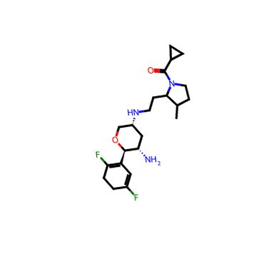 CC1CCN(C(=O)C2CC2)C1CCN[C@H]1CO[C@H](C2=C(F)CCC(F)=C2)[C@@H](N)C1